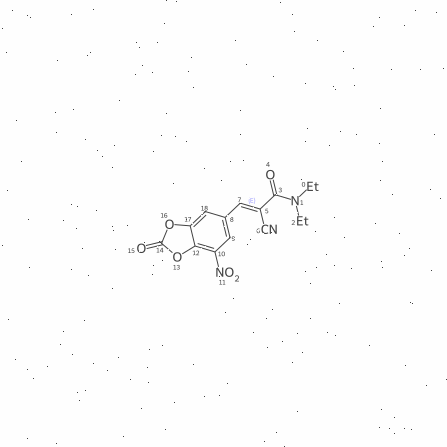 CCN(CC)C(=O)/C(C#N)=C/c1cc([N+](=O)[O-])c2oc(=O)oc2c1